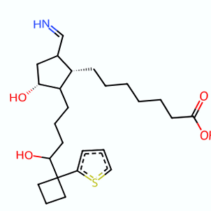 N=CC1C[C@@H](O)C(CCCC(O)C2(c3cccs3)CCC2)[C@H]1CCCCCCC(=O)O